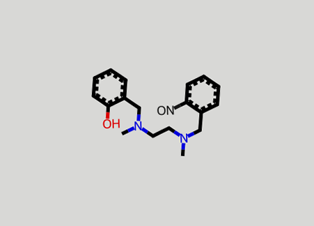 CN(CCN(C)Cc1ccccc1N=O)Cc1ccccc1O